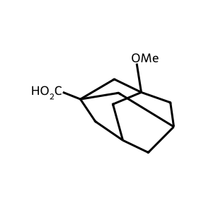 COC12CC3CC(C1)CC(C(=O)O)(C3)C2